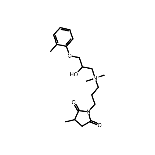 Cc1ccccc1OCC(O)C[N+](C)(C)CCCN1C(=O)CC(C)C1=O